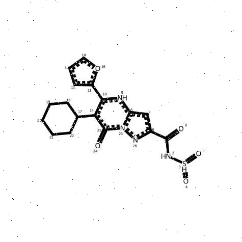 O=C(N[SH](=O)=O)c1cc2[nH]c(-c3ccco3)c(C3CCCCC3)c(=O)n2n1